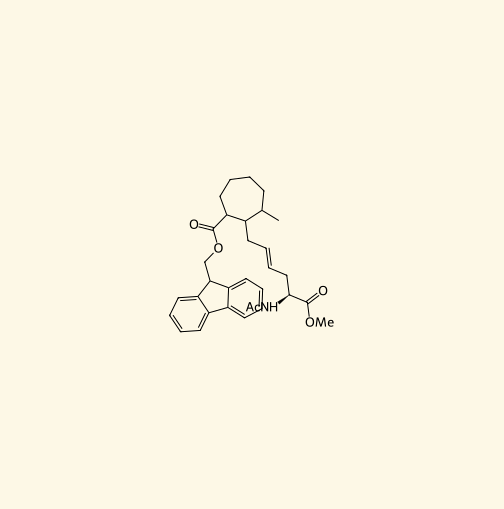 COC(=O)[C@H](CC=CCC1C(C)CCCCC1C(=O)OCC1c2ccccc2-c2ccccc21)NC(C)=O